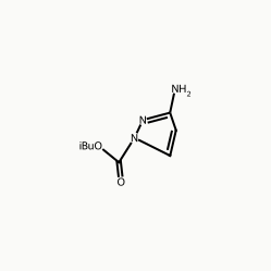 CC(C)COC(=O)n1ccc(N)n1